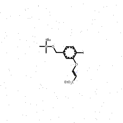 CCOC(=O)/C=C/Oc1cc(CO[Si](C)(C)C(C)(C)C)ccc1I